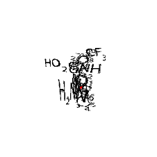 NC1=C2CCCC(=CC1)N2c1ccc(C(=O)Nc2cc(C(F)(F)F)ccc2C(=O)O)nn1